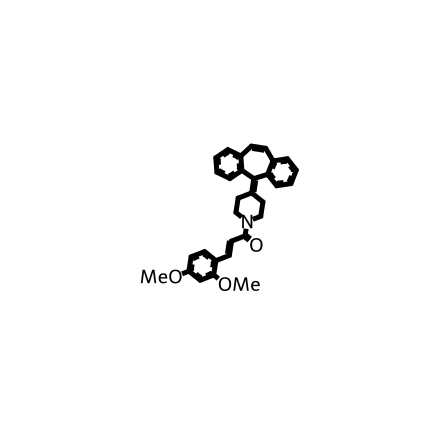 COc1ccc(C=CC(=O)N2CCC(=C3c4ccccc4C=Cc4ccccc43)CC2)c(OC)c1